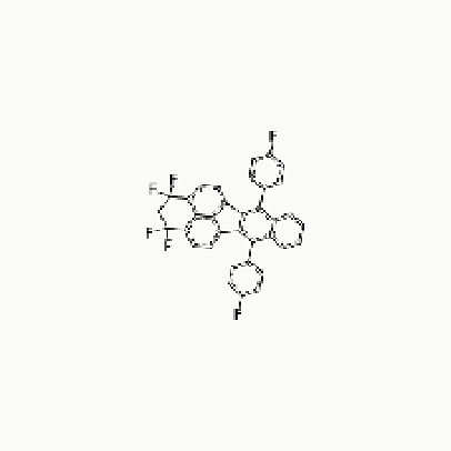 Fc1ccc(-c2c3c(c(-c4ccc(F)cc4)c4ccccc24)-c2ccc4c5c(ccc-3c25)C(F)(F)CC4(F)F)cc1